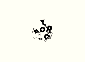 O=C1CCC(N2Cc3c(cccc3N(CCC3CC3)C3CCC(NC4CC(F)(F)C4)CC3)C2=O)C(=O)N1.O=CO